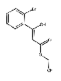 CCOC(=O)/C=C(\O)c1ccccc1Br